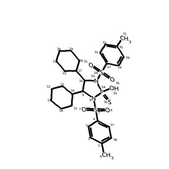 Cc1ccc(S(=O)(=O)N2C(C3CCCCC3)C(C3CCCCC3)N(S(=O)(=O)c3ccc(C)cc3)P2(O)=S)cc1